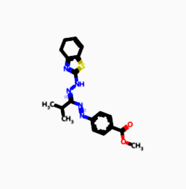 COC(=O)c1ccc(/N=N/C(=N\Nc2nc3c(s2)C=CCC3)C(C)C)cc1